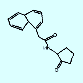 O=C(CC1=CC=CC2C=CC=CC12)NC1CCCC1=O